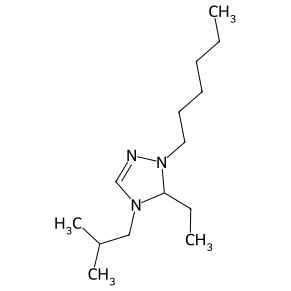 CCCCCCN1N=CN(CC(C)C)C1CC